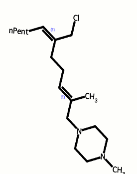 CCCCC/C=C(/CCl)CC/C=C(\C)CN1CCN(C)CC1